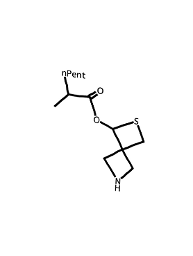 CCCCCC(C)C(=O)OC1SCC12CNC2